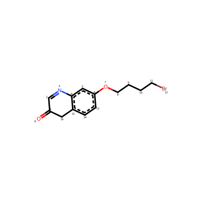 O=C1C=Nc2cc(OCCCCBr)ccc2C1